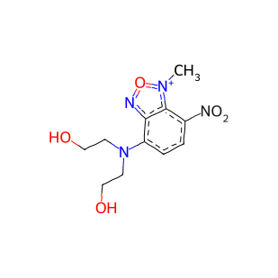 C[n+]1onc2c(N(CCO)CCO)ccc([N+](=O)[O-])c21